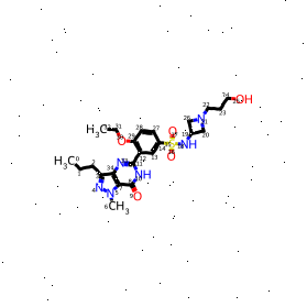 CCCc1nn(C)c2c(=O)[nH]c(-c3cc(S(=O)(=O)NC4CN(CCCO)C4)ccc3OCC)nc12